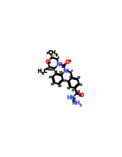 C[C@@H]1CN(C(=O)N(Cc2ccc(C(=O)NN)cc2)c2ccccc2)C[C@H](C)O1